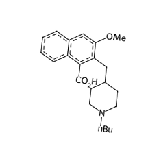 CCCCN1CCC(Cc2c(OC)cc3ccccc3c2C(=O)O)CC1